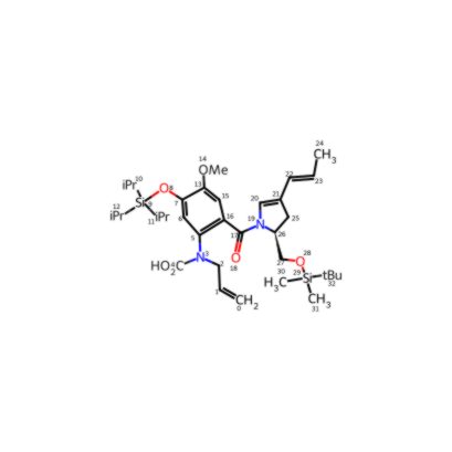 C=CCN(C(=O)O)c1cc(O[Si](C(C)C)(C(C)C)C(C)C)c(OC)cc1C(=O)N1C=C(/C=C/C)C[C@H]1CO[Si](C)(C)C(C)(C)C